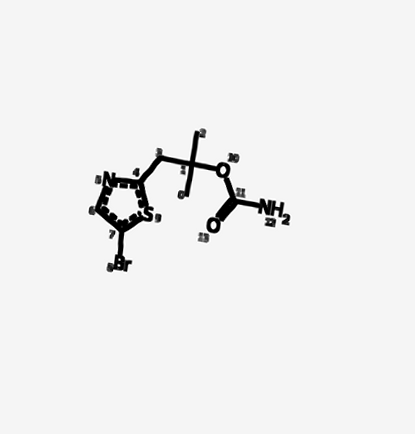 CC(C)(Cc1ncc(Br)s1)OC(N)=O